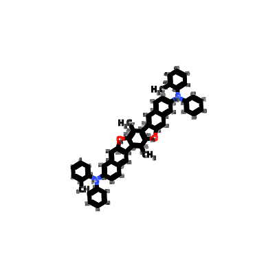 Cc1ccccc1N(c1ccccc1)c1ccc2cc3c(cc2c1)oc1c(C)c2c(oc4cc5cc(N(c6ccccc6)c6ccccc6C)ccc5cc42)c(C)c13